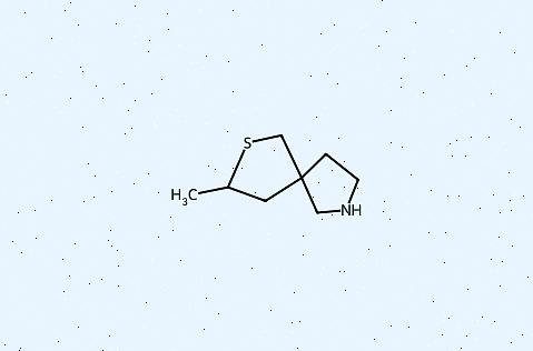 CC1CC2(CCNC2)CS1